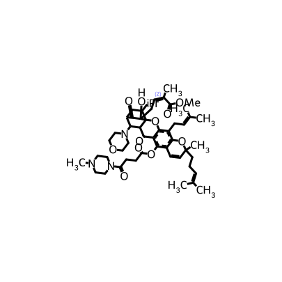 COC(=O)/C(C)=C\CC1(O)C(=O)C2CC(C(C)C)C13Oc1c(CC=C(C)C)c4c(c(OC(=O)CCC(=O)N5CCN(C)CC5)c1C(=O)C3C2N1CCOCC1)C=CC(C)(CCC=C(C)C)O4